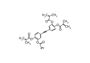 C=C(C)C(=O)Oc1ccc(C#Cc2ccc(OC(=O)C(=C)C)c(OC(=O)C(C)C)c2)cc1OC(=O)C(=C)C